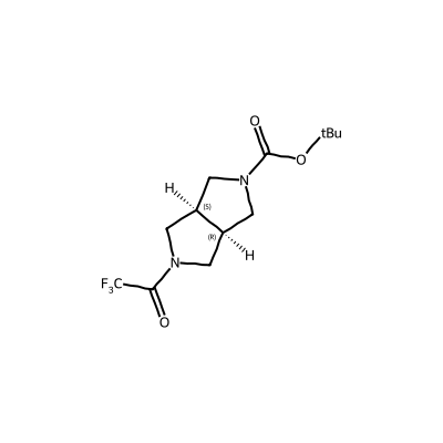 CC(C)(C)OC(=O)N1C[C@@H]2CN(C(=O)C(F)(F)F)C[C@@H]2C1